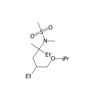 CCC(COC(C)C)CC(C)(CC)N(C)S(C)(=O)=O